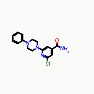 NC(=O)c1cc(Cl)nc(N2CCN(c3ccccc3)CC2)c1